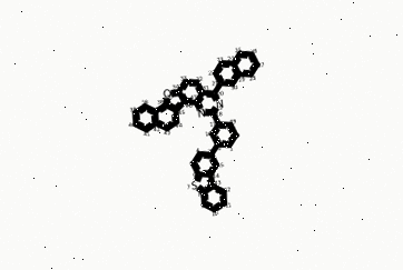 c1cc(-c2ccc3sc4ccccc4c3c2)cc(-c2nc(-c3ccc4ccccc4c3)c3ccc4oc5c6ccccc6ccc5c4c3n2)c1